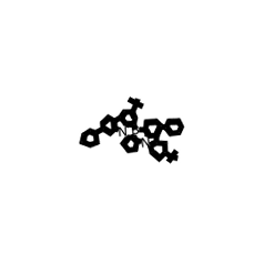 CC(C)(C)c1cc2c3c(c1)c1ccc(C4=CC=CCC4)cc1n3C1=CCCC3=C1B2c1ccc(C2=CCCC=C2)c2c4c(n3c12)C=CC(C(C)(C)C)C4